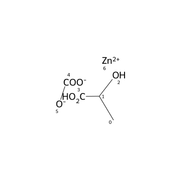 CC(O)C(=O)O.O=C([O-])[O-].[Zn+2]